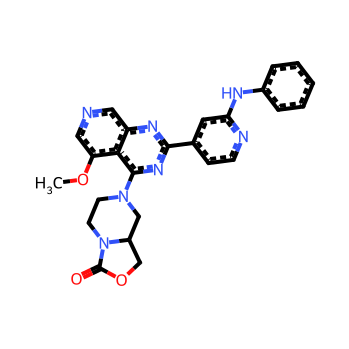 COc1cncc2nc(-c3ccnc(Nc4ccccc4)c3)nc(N3CCN4C(=O)OCC4C3)c12